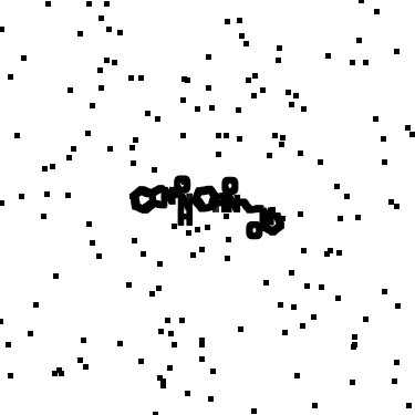 O=C(NCCCN1CCCC1=O)c1ccc(NC(=O)N2Cc3ccccc3C2)cc1